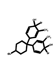 CC1=CC(C2(C3C=CC(O)(Br)C(C)=C3)CCC(C(C)(C)C)CC2)C=CC1(O)Br